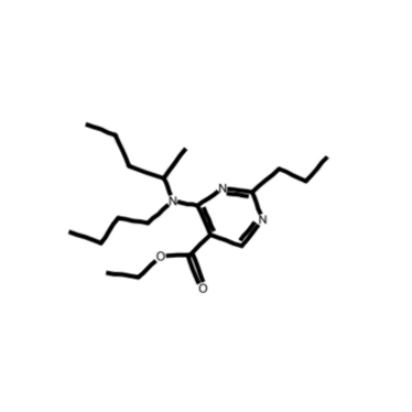 CCCCN(c1nc(CCC)ncc1C(=O)OCC)C(C)CCC